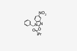 CC(C)C(=O)Oc1nc2cc([N+](=O)[O-])ccc2n1Cc1ccccc1